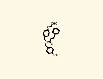 CCCCCCCCc1ccc(CN(Cc2ccc(OCC=O)cc2)C(=O)/C=C/c2ccccc2)cc1